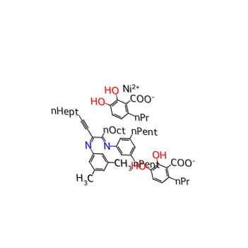 CCCCCCCC#CC(=Nc1cc(C)cc(C)c1)C(CCCCCCCC)=Nc1cc(CCCCC)cc(CCCCC)c1.CCCc1ccc(O)c(O)c1C(=O)[O-].CCCc1ccc(O)c(O)c1C(=O)[O-].[Ni+2]